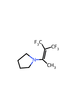 CC(=C(C(F)(F)F)C(F)(F)F)N1CCCC1